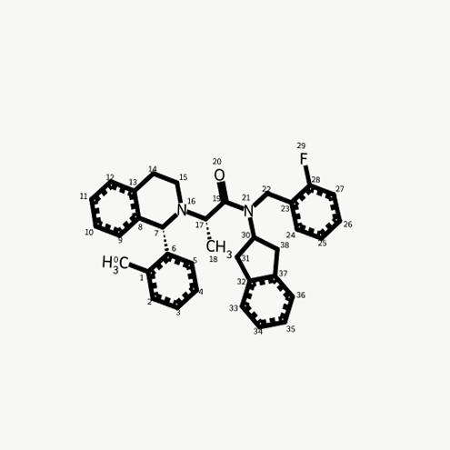 Cc1ccccc1[C@@H]1c2ccccc2CCN1[C@@H](C)C(=O)N(Cc1ccccc1F)C1Cc2ccccc2C1